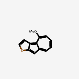 COc1ccccc2cc3sccc3c1-2